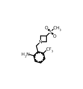 CS(=O)(=O)C1CN(Cc2c(N)cccc2C(F)(F)F)C1